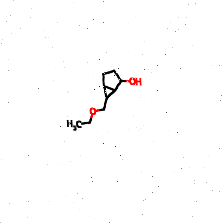 CCOCC1C2CCC(O)C21